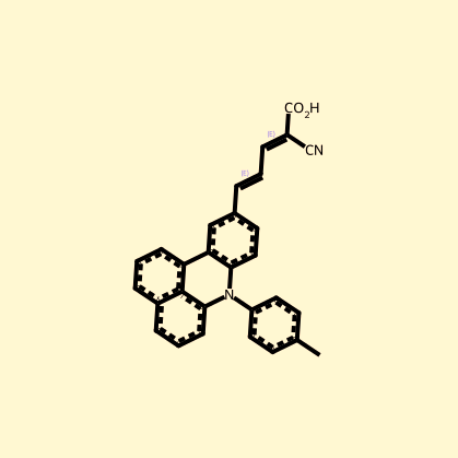 Cc1ccc(N2c3ccc(/C=C/C=C(\C#N)C(=O)O)cc3-c3cccc4cccc2c34)cc1